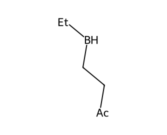 CCBCCC(C)=O